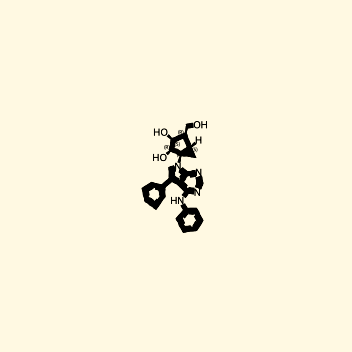 OC[C@@H]1[C@H](O)[C@H](O)[C@@]2(n3cc(-c4ccccc4)c4c(Nc5ccccc5)ncnc43)C[C@@H]12